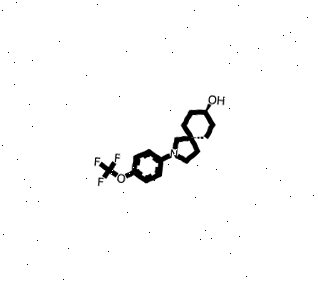 O[C@H]1CC[C@@]2(CCN(c3ccc(OC(F)(F)F)cc3)C2)CC1